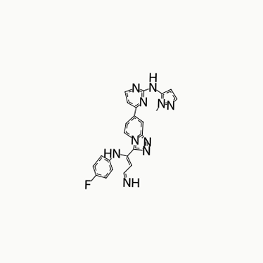 Cn1nccc1Nc1nccc(-c2ccn3c(/C(=C/C=N)Nc4ccc(F)cc4)nnc3c2)n1